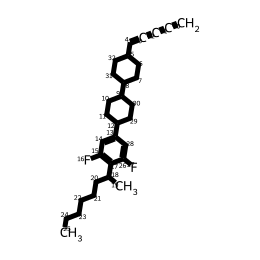 C=C=C=C=CC1CCC(C2CCC(c3cc(F)c(C(C)CCCCCC)c(F)c3)CC2)CC1